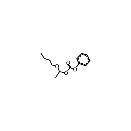 CCCCOC(C)OC(=O)Oc1ccccc1